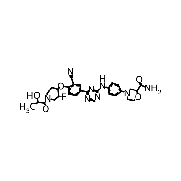 CC(O)C(=O)N1CC[C@H](Oc2ccc(-c3ncnc(Nc4ccc(N5CCOC(C(N)=O)C5)cc4)n3)cc2C#N)[C@H](F)C1